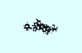 C=C(C)[C@@H]1CC[C@]2(C(=O)OCc3ccccc3)CC[C@]3(C)[C@H](CC[C@@H]4[C@@]5(C)CCC(OC(=O)CC)C(C)(C)C5CC[C@]43C)C12